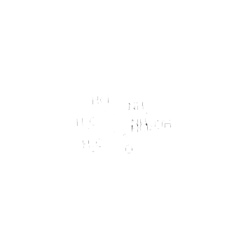 C=CC(N)=O.CCCN.Cl.Cl.Cl